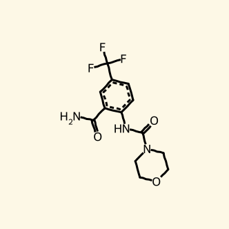 NC(=O)c1cc(C(F)(F)F)ccc1NC(=O)N1CCOCC1